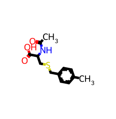 CC(=O)NC(CSCc1ccc(C)cc1)C(=O)O